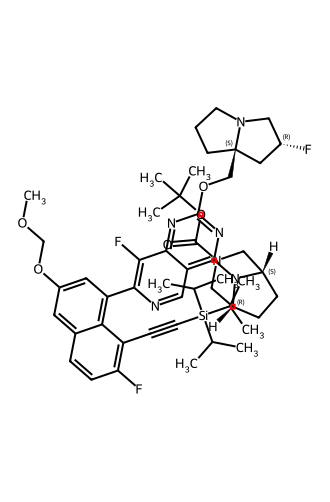 COCOc1cc(-c2ncc3c(N4[C@@H]5CC[C@H]4CN(C(=O)OC(C)(C)C)C5)nc(OC[C@@]45CCCN4C[C@H](F)C5)nc3c2F)c2c(C#C[Si](C(C)C)(C(C)C)C(C)C)c(F)ccc2c1